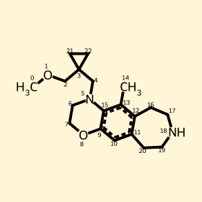 COCC1(CN2CCOc3cc4c(c(C)c32)CCNCC4)CC1